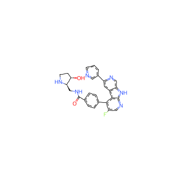 O=C(NC[C@H]1NCC[C@H]1O)c1ccc(-c2c(F)cnc3[nH]c4cnc(-c5cccnc5)cc4c23)cc1